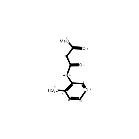 COC(=O)CC(=O)Nc1cnccc1C(=O)O